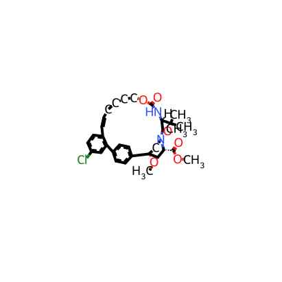 COC(=O)[C@@H]1C[C@]2(OC)CN1C(=O)[C@H](C(C)(C)C)NC(=O)OCCCCC=Cc1ccc(Cl)cc1-c1ccc2cc1